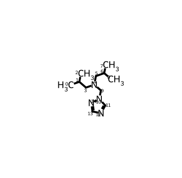 CC(C)CN(CC(C)C)Cn1cncn1